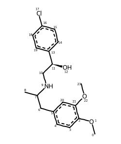 COc1ccc(CC(C)NC[C@H](O)c2ccc(Cl)cc2)cc1OC